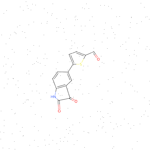 O=Cc1ccc(-c2ccc3c(c2)C(=O)C(=O)N3)s1